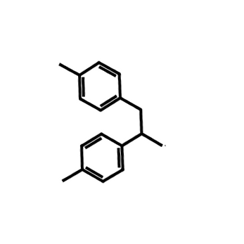 [CH2]C(Cc1ccc(C)cc1)c1ccc(C)cc1